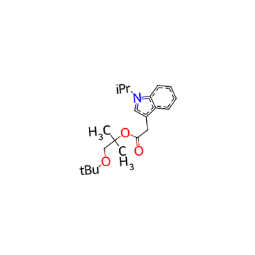 CC(C)n1cc(CC(=O)OC(C)(C)COC(C)(C)C)c2ccccc21